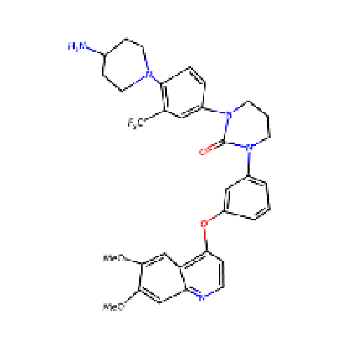 COc1cc2nccc(Oc3cccc(N4CCCN(c5ccc(N6CCC(N)CC6)c(C(F)(F)F)c5)C4=O)c3)c2cc1OC